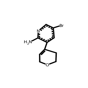 Nc1ncc(Br)cc1C1=CCOCC1